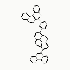 C1=CC2=C(c3cccc(-c4nc5ccccc5c5c4ccc4ccccc45)c3)C=CC3=CC=C4C(c5cc6cccnc6c6ncccc56)=CC=C1C4C32